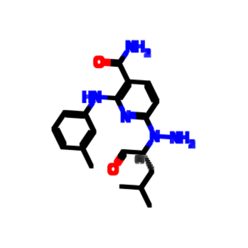 Cc1cccc(Nc2nc(N(N)[C@@H](C=O)CC(C)C)ccc2C(N)=O)c1